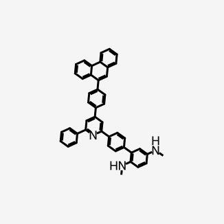 CNc1ccc(NC)c(-c2ccc(-c3cc(-c4ccc(-c5cc6ccccc6c6ccccc56)cc4)cc(-c4ccccc4)n3)cc2)c1